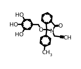 C#CCN1C(=O)c2ccccc2C1(OCc1cc(O)c(O)c(O)c1)c1ccc(C)cc1